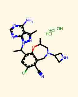 Cc1nn(C(C)c2cc(Cl)c(C#N)c3c2OC(C)CN(C2CNC2)C3)c2ncnc(N)c12.Cl.Cl.Cl